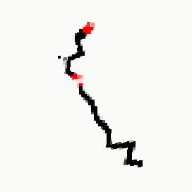 CCCCCCCCOC[C@H](C)CC=O